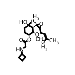 CO[C@@H]1[C@H](OC(=O)CNC2CCC2)CC[C@](O)(I)[C@H]1[C@@]1(C)OC1CC=C(C)C